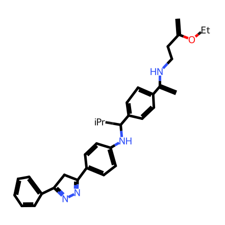 C=C(CCNC(=C)c1ccc(C(Nc2ccc(C3=NN=C(c4ccccc4)C3)cc2)C(C)C)cc1)OCC